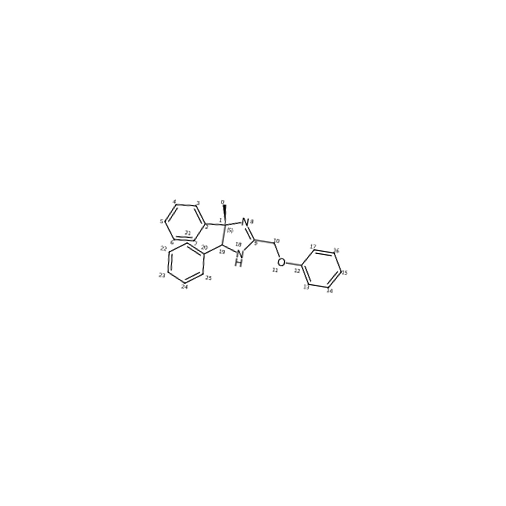 C[C@@]1(c2ccccc2)N=C(COc2ccccc2)NC1c1ccccc1